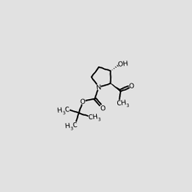 CC(=O)[C@@H]1[C@@H](O)CCN1C(=O)OC(C)(C)C